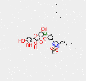 CCS(=O)(=O)c1nc(-c2ccc(Cl)c(Oc3cc(O)cc4oc(-c5ccc(O)c(O)c5)c(O)c(=O)c34)c2)cc(C(F)(F)F)n1